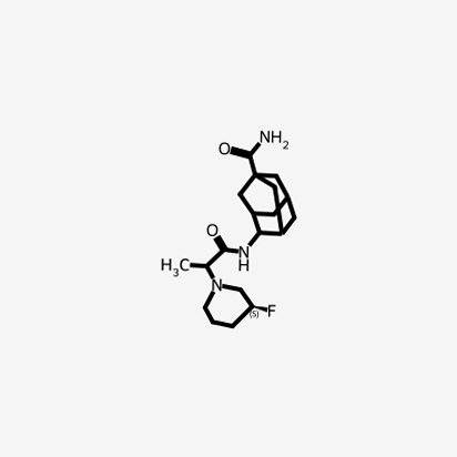 CC(C(=O)NC1C2CC3CC1CC(C(N)=O)(C3)C2)N1CCC[C@H](F)C1